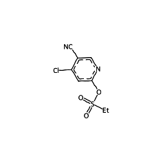 CCS(=O)(=O)Oc1cc(Cl)c(C#N)cn1